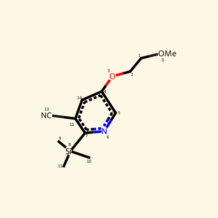 COCCOc1cnc([Si](C)(C)C)c(C#N)c1